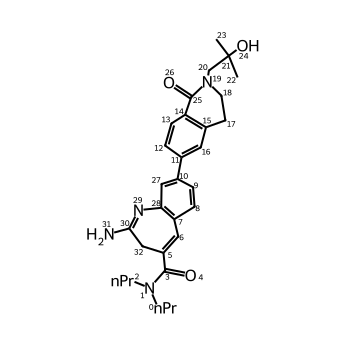 CCCN(CCC)C(=O)C1=Cc2ccc(-c3ccc4c(c3)CCN(CC(C)(C)O)C4=O)cc2N=C(N)C1